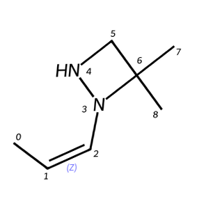 C/C=C\N1NCC1(C)C